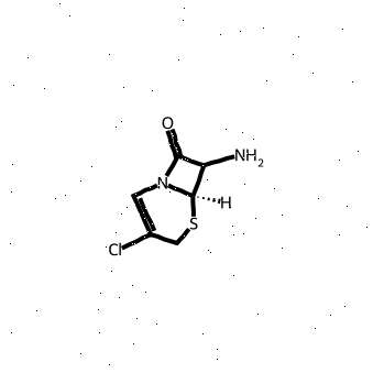 NC1C(=O)N2C=C(Cl)CS[C@H]12